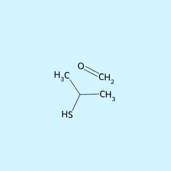 C=O.CC(C)S